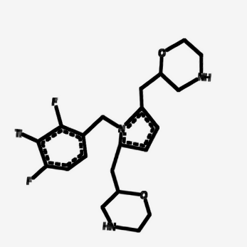 Fc1ccc(Cn2c(CC3CNCCO3)ccc2CC2CNCCO2)c(F)[c]1[Ti]